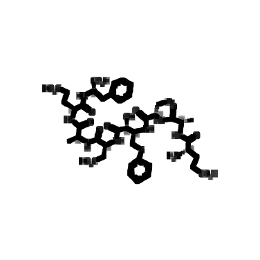 CC(C)C[C@H](NC(=O)[C@H](C)NC(=O)[C@@H](N)CCC(=O)O)C(=O)N[C@@H](CSc1ccccc1)[C@@H](O)C(=O)N[C@@H](CC(=O)O)C(=O)N[C@@H](C)C(=O)N[C@@H](CCC(=O)O)C(=O)N[C@@H](Cc1ccccc1)C(=O)O